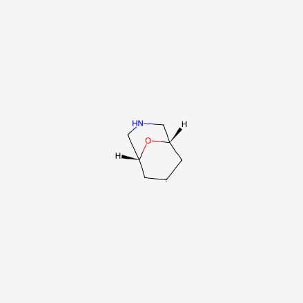 [CH]1C[C@@H]2CNC[C@H](C1)O2